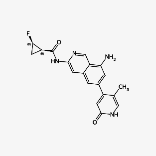 Cc1c[nH]c(=O)cc1-c1cc(N)c2cnc(NC(=O)[C@H]3C[C@H]3F)cc2c1